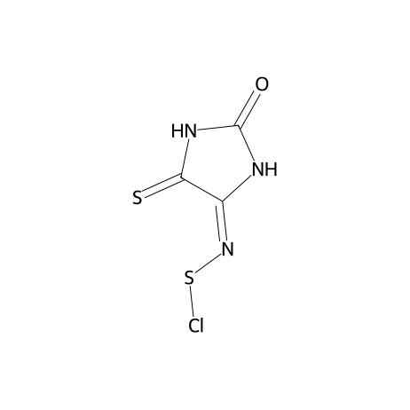 O=C1NC(=S)C(=NSCl)N1